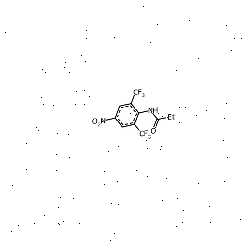 CCC(=O)Nc1c(C(F)(F)F)cc([N+](=O)[O-])cc1C(F)(F)F